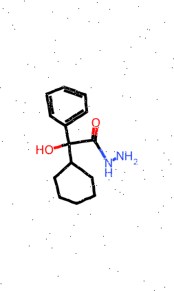 NNC(=O)C(O)(c1ccccc1)C1CCCCC1